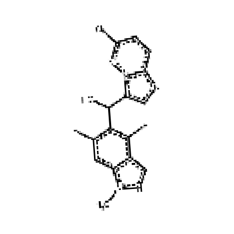 Cn1ncc2c(F)c(C(O)c3cnc4ccc(Cl)nn34)c(F)cc21